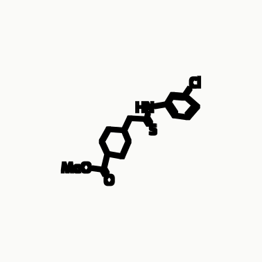 COC(=O)C1CCC(CC(=S)Nc2cccc(Cl)c2)CC1